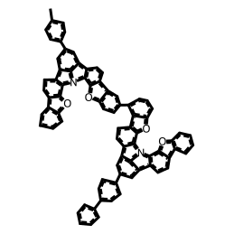 Cc1ccc(-c2cc3c4ccc5c6ccccc6oc5c4n4c3c(c2)c2ccc3c5cc(-c6cccc7oc8c(ccc9c%10cc(-c%11ccc(-c%12ccccc%12)cc%11)cc%11c%12ccc%13c%14ccccc%14oc%13c%12n(c%11%10)c98)c67)ccc5oc3c24)cc1